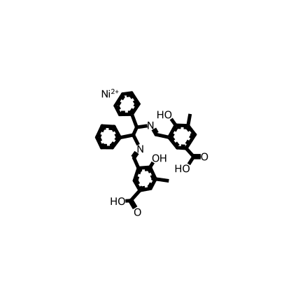 Cc1cc(C(=O)O)cc(C=NC(c2ccccc2)C(N=Cc2cc(C(=O)O)cc(C)c2O)c2ccccc2)c1O.[Ni+2]